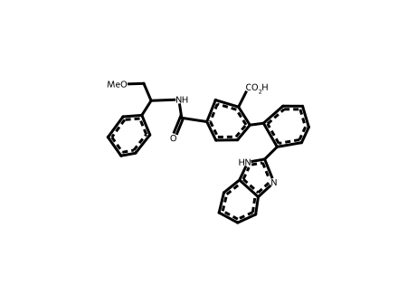 COCC(NC(=O)c1ccc(-c2ccccc2-c2nc3ccccc3[nH]2)c(C(=O)O)c1)c1ccccc1